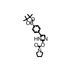 CC1(C)OB(c2ccc(-c3cnc(OC(=O)N4CCCC4)[nH]3)cc2)OC1(C)C